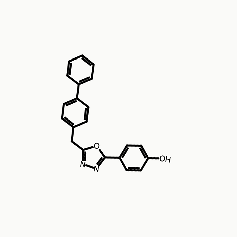 Oc1ccc(-c2nnc(Cc3ccc(-c4ccccc4)cc3)o2)cc1